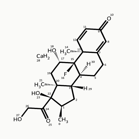 C[C@@H]1C[C@H]2[C@@H]3CCC4=CC(=O)C=C[C@]4(C)[C@@]3(F)[C@@H](O)C[C@]2(C)[C@@]1(O)C(=O)CO.[CaH2]